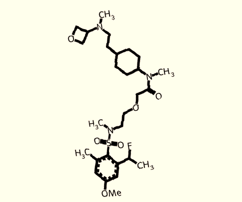 COc1cc(C)c(S(=O)(=O)N(C)CCOCC(=O)N(C)C2CCC(CCN(C)C3COC3)CC2)c(C(C)F)c1